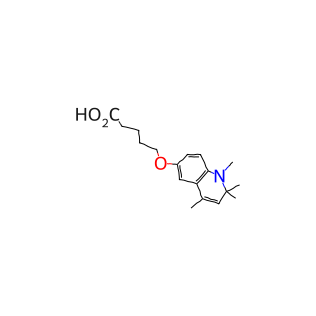 CC1=CC(C)(C)N(C)c2ccc(OCCCCC(=O)O)cc21